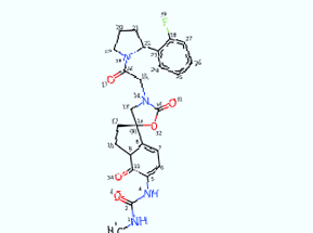 CNC(=O)NC1=CC=C2C(CC[C@]23CN(CC(=O)N2CCCC2c2ccccc2F)C(=O)O3)C1=O